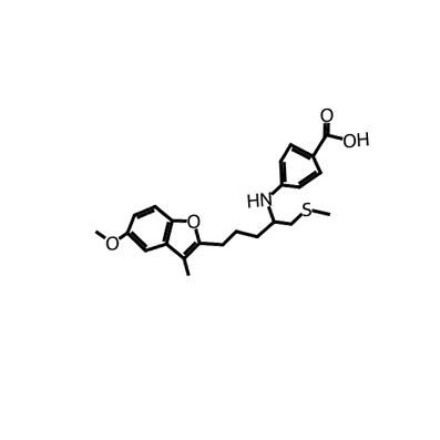 COc1ccc2oc(CCCC(CSC)Nc3ccc(C(=O)O)cc3)c(C)c2c1